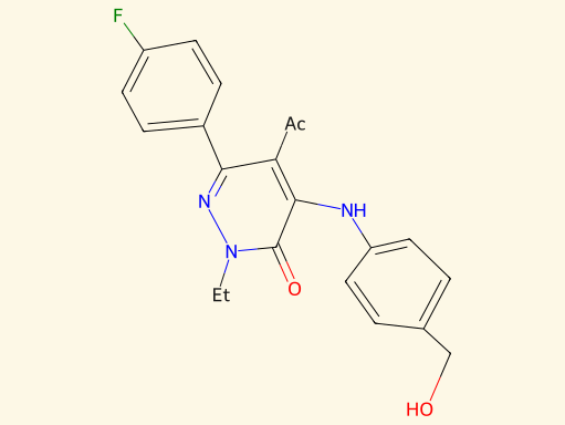 CCn1nc(-c2ccc(F)cc2)c(C(C)=O)c(Nc2ccc(CO)cc2)c1=O